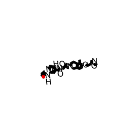 Cc1c(OCc2cnco2)ccc2c1CCN(CC(C)(O)CNC(=O)c1ccnc(NC34CC(C3)C4)c1)C2